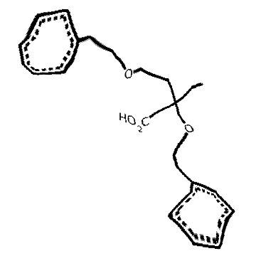 CC(COCc1ccccc1)(OCc1ccccc1)C(=O)O